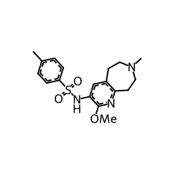 COc1nc2c(cc1NS(=O)(=O)c1ccc(C)cc1)CCN(C)CC2